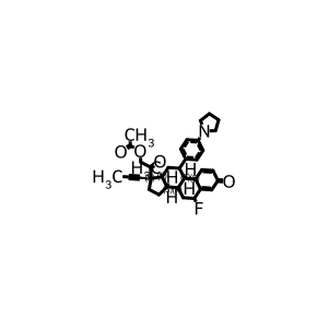 CC#C[C@]1(C(=O)COC(C)=O)CC[C@H]2[C@@H]3CC(F)C4=CC(=O)C=C[C@@H]4[C@H]3C(c3ccc(N4CCCC4)cc3)C[C@@]21C